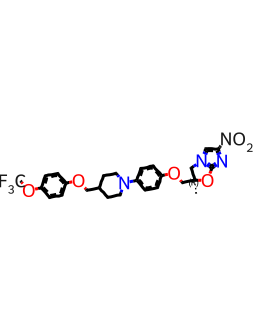 C[C@]1(COc2ccc(N3CCC(COc4ccc(OC(F)(F)F)cc4)CC3)cc2)Cn2cc([N+](=O)[O-])nc2O1